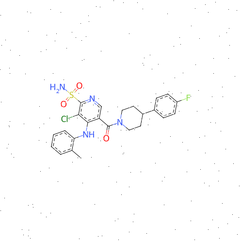 Cc1ccccc1Nc1c(C(=O)N2CCC(c3ccc(F)cc3)CC2)cnc(S(N)(=O)=O)c1Cl